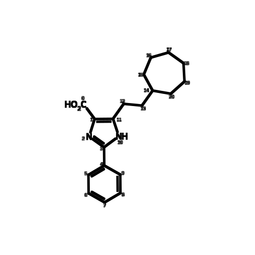 O=C(O)c1nc(-c2ccccc2)[nH]c1CCC1CCCCCC1